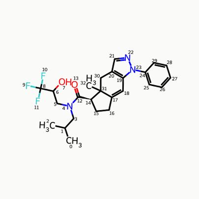 CC(C)CN(CC(O)C(F)(F)F)C(=O)[C@@H]1CCC2=Cc3c(cnn3-c3ccccc3)CC21C